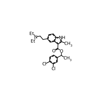 CCN(CC)CCc1ccc2[nH]c(C)c(C(=O)OC(C)c3ccc(Cl)c(Cl)c3)c2c1